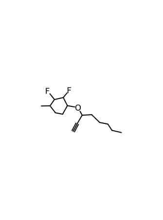 C#CC(CCCCC)OC1CCC(C)C(F)C1F